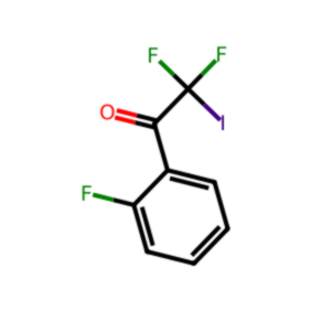 O=C(c1ccccc1F)C(F)(F)I